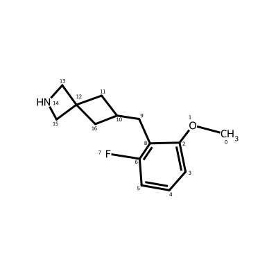 COc1cccc(F)c1CC1CC2(CNC2)C1